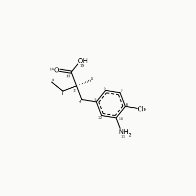 CC[C@](C)(Cc1ccc(Cl)c(N)c1)C(=O)O